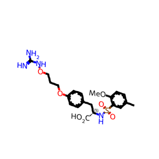 COc1ccc(C)cc1S(=O)(=O)N[C@@H](Cc1ccc(OCCCONC(=N)N)cc1)C(=O)O